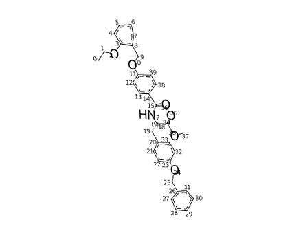 CCOc1ccccc1COc1ccc(C(=O)N[C@@H](Cc2ccc(OCc3ccccc3)cc2)C(=O)OC)cc1